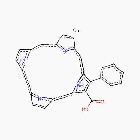 O=C(O)c1c(-c2ccccc2)c2cc3nc(cc4ccc(cc5nc(cc1[nH]2)C=C5)[nH]4)C=C3.[Co]